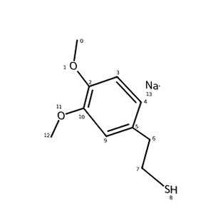 COc1ccc(CCS)cc1OC.[Na]